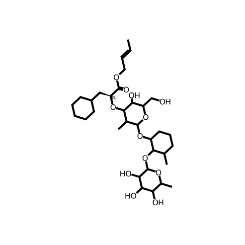 CC=CCOC(=O)[C@H](CC1CCCCC1)OC1C(C)C(OC2CCCC(C)C2OC2OC(C)C(O)C(O)C2O)OC(CO)C1O